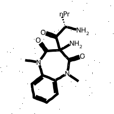 CCC[C@H](N)C(=O)C1(N)C(=O)N(C)c2ccccc2N(C)C1=O